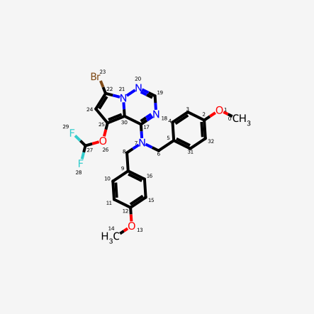 COc1ccc(CN(Cc2ccc(OC)cc2)c2ncnn3c(Br)cc(OC(F)F)c23)cc1